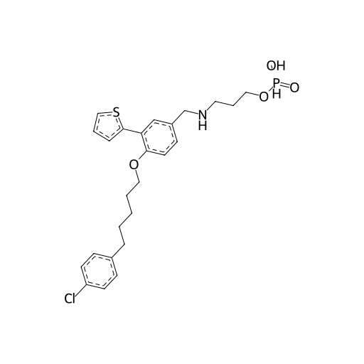 O=[PH](O)OCCCNCc1ccc(OCCCCCc2ccc(Cl)cc2)c(-c2cccs2)c1